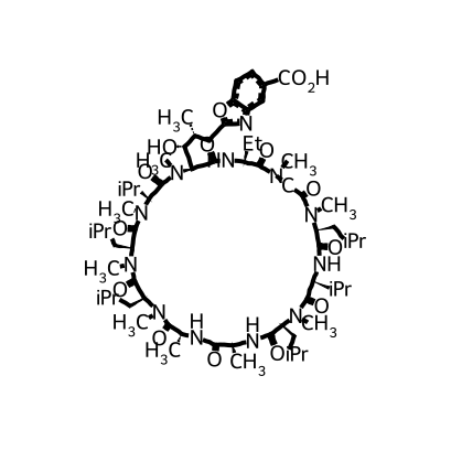 CC[C@@H]1NC(=O)[C@H]([C@H](O)[C@H](C)Cc2nc3cc(C(=O)O)ccc3o2)N(C)C(=O)[C@H](C(C)C)N(C)C(=O)[C@H](CC(C)C)N(C)C(=O)[C@H](CC(C)C)N(C)C(=O)[C@@H](C)NC(=O)[C@H](C)NC(=O)[C@H](CC(C)C)N(C)C(=O)[C@H](C(C)C)NC(=O)[C@H](CC(C)C)N(C)C(=O)CN(C)C1=O